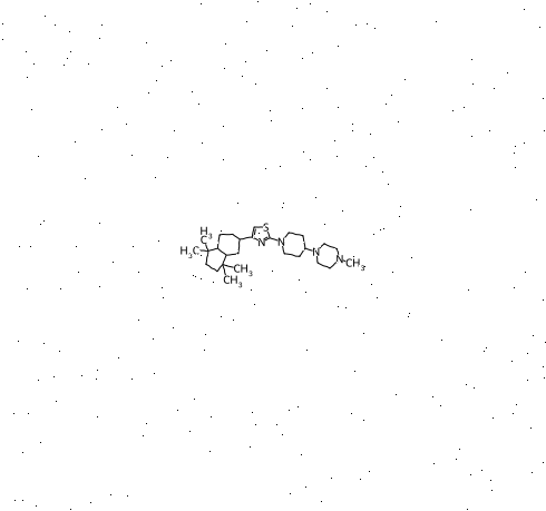 CN1CCN(C2CCN(c3nc(C4CCC5C(C4)C(C)(C)CCC5(C)C)cs3)CC2)CC1